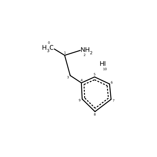 CC(N)Cc1ccccc1.I